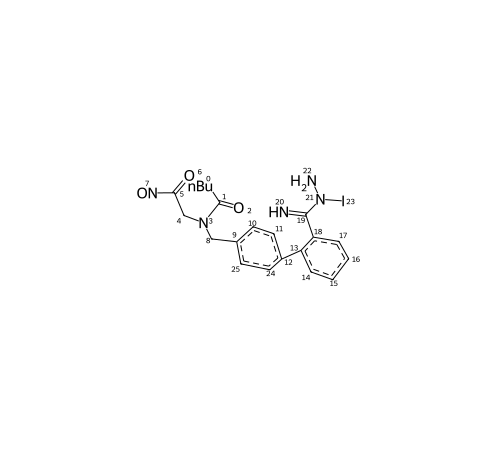 CCCCC(=O)N(CC(=O)N=O)Cc1ccc(-c2ccccc2C(=N)N(N)I)cc1